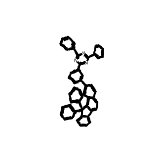 c1ccc(-c2nc(-c3ccccc3)nc(-c3cccc(-c4ccc5ccc6c(c5c4)C(c4ccccc4)(c4ccccc4)c4ccccc4-6)c3)n2)cc1